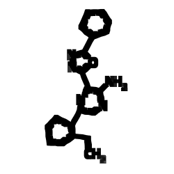 C=Cc1ccccc1-c1cnc(N)c(-c2nnc(-c3ccccc3)o2)n1